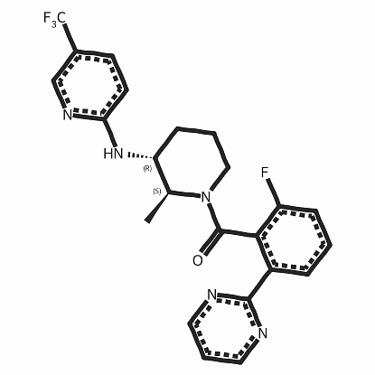 C[C@H]1[C@H](Nc2ccc(C(F)(F)F)cn2)CCCN1C(=O)c1c(F)cccc1-c1ncccn1